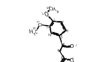 COc1ccc(C(=O)CC(=O)Cl)cc1OC